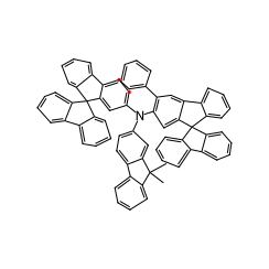 CC1(C)c2ccccc2-c2ccc(N(c3ccc4c(c3)C3(c5ccccc5-c5ccccc53)c3ccccc3-4)c3cc4c(cc3-c3ccccc3)-c3ccccc3C43c4ccccc4-c4ccccc43)cc21